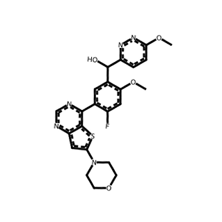 COc1ccc(C(O)c2cc(-c3ncnc4cc(N5CCOCC5)sc34)c(F)cc2OC)nn1